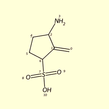 C=C1C(N)[CH]CC1S(=O)(=O)O